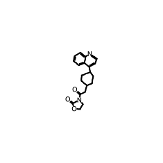 O=C(CC1CCC(c2ccnc3ccccc23)CC1)N1CCOC1=O